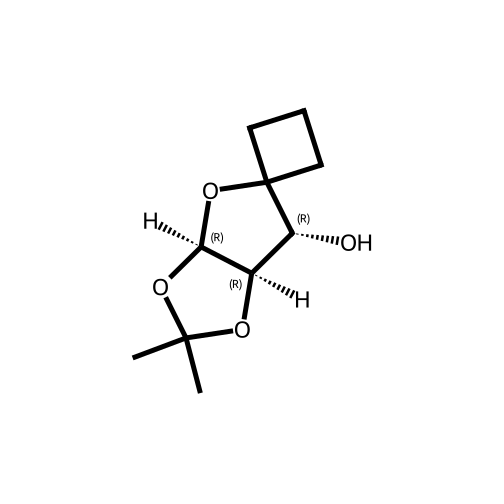 CC1(C)O[C@H]2OC3(CCC3)[C@H](O)[C@H]2O1